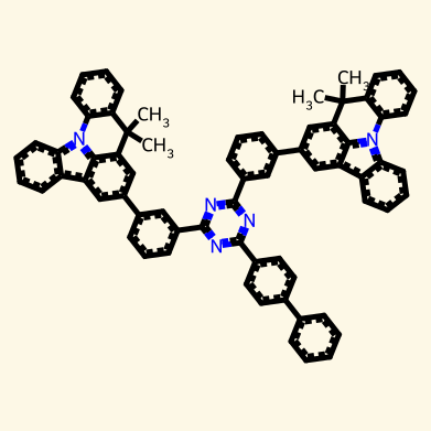 CC1(C)c2ccccc2-n2c3ccccc3c3cc(-c4cccc(-c5nc(-c6ccc(-c7ccccc7)cc6)nc(-c6cccc(-c7cc8c9c(c7)c7ccccc7n9-c7ccccc7C8(C)C)c6)n5)c4)cc1c32